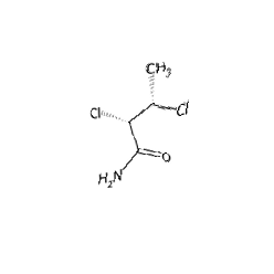 C[C@H](Cl)[C@@H](Cl)C(N)=O